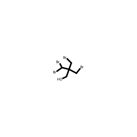 OCC(CBr)(CBr)C(Br)Br